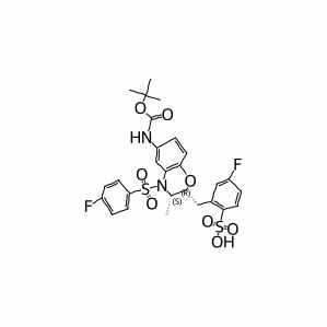 C[C@H]1[C@@H](Cc2cc(F)ccc2S(=O)(=O)O)Oc2ccc(NC(=O)OC(C)(C)C)cc2N1S(=O)(=O)c1ccc(F)cc1